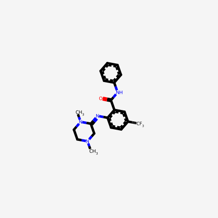 CN1CCN(C)C(=Nc2ccc(C(F)(F)F)cc2C(=O)Nc2ccccc2)C1